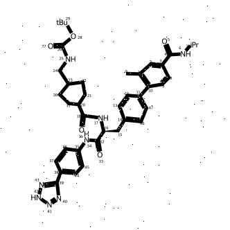 Cc1cc(C(=O)NC(C)C)ccc1-c1ccc(C[C@H](NC(=O)C2CCC(CNC(=O)OC(C)(C)C)CC2)C(=O)Nc2ccc(-c3nn[nH]n3)cc2)cc1